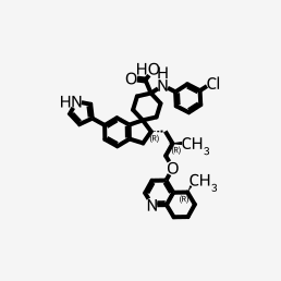 C[C@@H](COc1ccnc2c1[C@H](C)CCC2)C[C@@H]1Cc2ccc(-c3cc[nH]c3)cc2C12CCC(Nc1cccc(Cl)c1)(C(=O)O)CC2